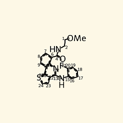 COCCNC(=O)c1cccc2c1nc(Nc1ccccc1F)c1ccsc12